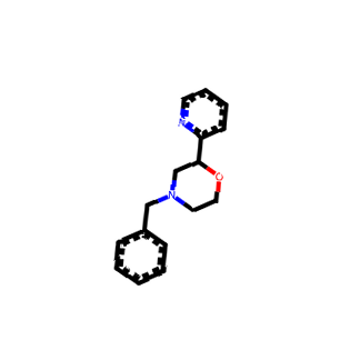 c1ccc(CN2CCOC(c3ccccn3)C2)cc1